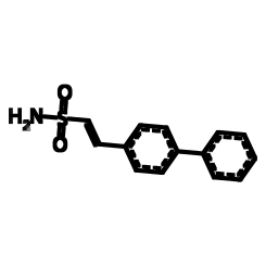 NS(=O)(=O)C=Cc1ccc(-c2ccccc2)cc1